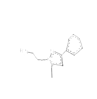 Cc1cc(-c2ccccc2)nn1CCN